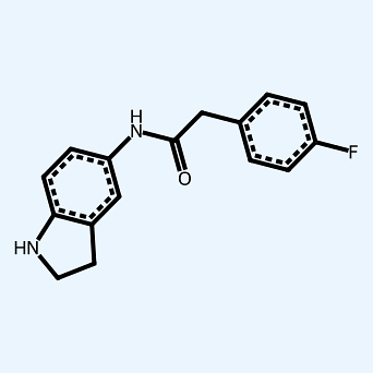 O=C(Cc1ccc(F)cc1)Nc1ccc2c(c1)CCN2